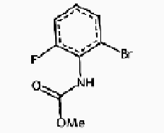 COC(=O)Nc1c(F)cccc1Br